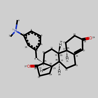 CN(C)c1cccc(C[C@]23CC[C@H]4[C@@H](CCC5=CC(=O)CC[C@@H]54)[C@@H]2CCC3=O)c1